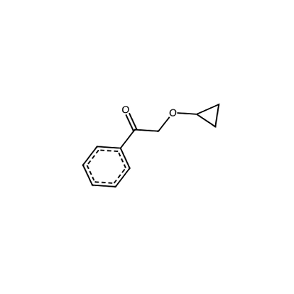 O=C(COC1CC1)c1ccccc1